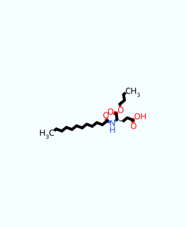 CCCCCCCCCCCC(=O)N[C@@H](CCC(=O)O)C(=O)OCCCC